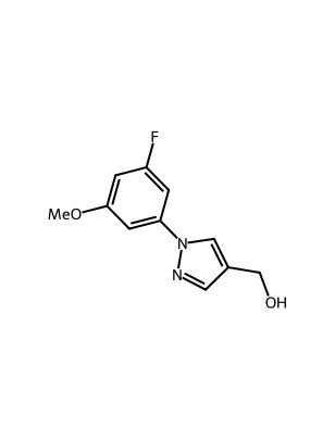 COc1cc(F)cc(-n2cc(CO)cn2)c1